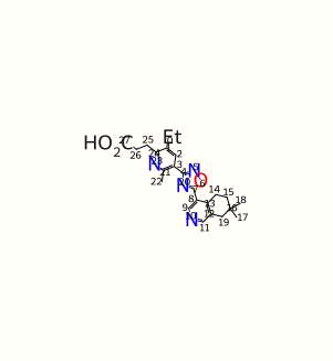 CCc1cc(-c2noc(-c3cncc4c3CCC(C)(C)C4)n2)c(C)nc1CCC(=O)O